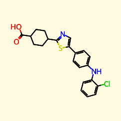 O=C(O)C1CCC(c2ncc(-c3ccc(Nc4ccccc4Cl)cc3)s2)CC1